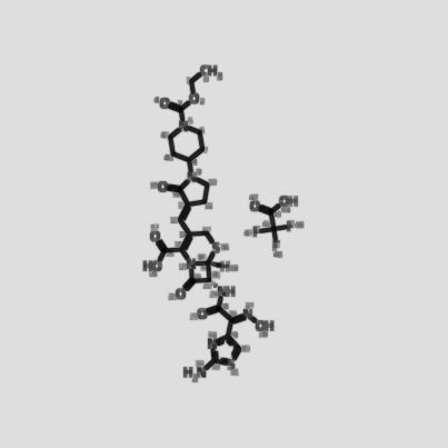 CCOC(=O)N1CCC(N2CCC(=CC3=C(C(=O)O)N4C(=O)[C@@H](NC(=O)C(=NO)c5csc(N)n5)[C@H]4SC3)C2=O)CC1.O=C(O)C(F)(F)F